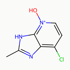 Cc1nc2c(Cl)cc[n+](O)c2[nH]1